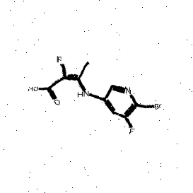 C/C(Nc1cnc(Br)c(F)c1)=C(\F)C(=O)O